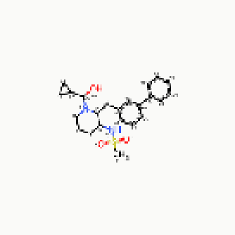 CS(=O)(=O)NC1CCCN(C(O)C2CC2)C1Cc1cccc(-c2ccccc2)c1